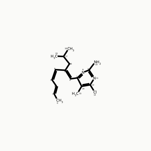 C/C=C/C=C\C(=C\c1nc(N)nc(Cl)c1C)CC(C)C